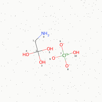 NCC(O)(O)O.[O-][Cl+3]([O-])([O-])O